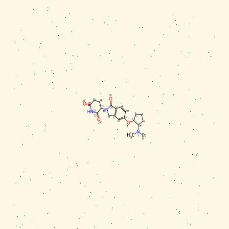 CCN(C)C1CCCC1Oc1ccc2c(c1)CN(C1CCC(=O)NC1=O)C2=O